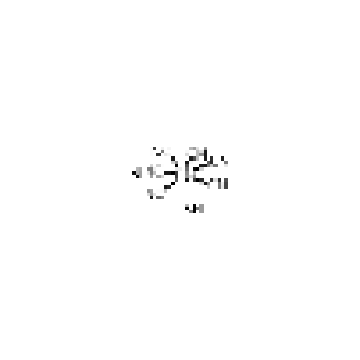 N#[C][Fe]([C]#N)([C]#N)([C]#N)([C]#N)[C]#N.[KH].[Ni]